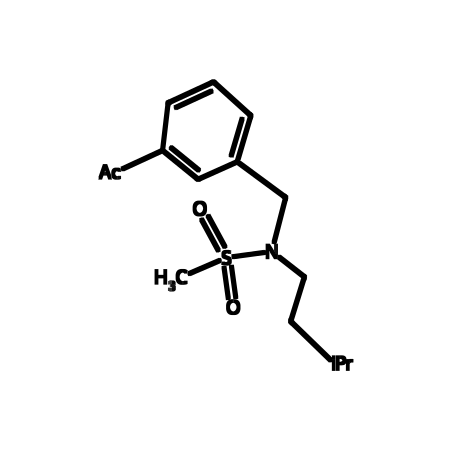 CC(=O)c1cccc(CN(CCC(C)C)S(C)(=O)=O)c1